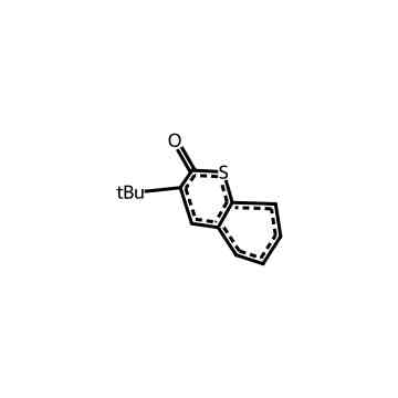 CC(C)(C)c1cc2ccccc2sc1=O